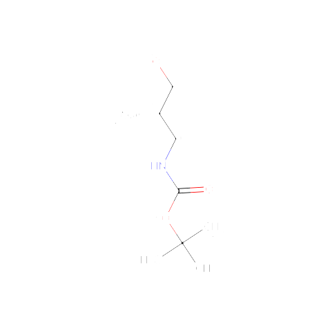 CC(C)(C)OC(=O)NC[C@H]([AsH2])CO